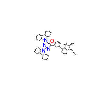 C=C/C=C1/C(=C\C)C(C)(C)c2c1cccc2-c1ccc2oc3c(-n4c5ccccc5c5ccccc54)nc(-n4c5ccccc5c5ccccc54)nc3c2c1